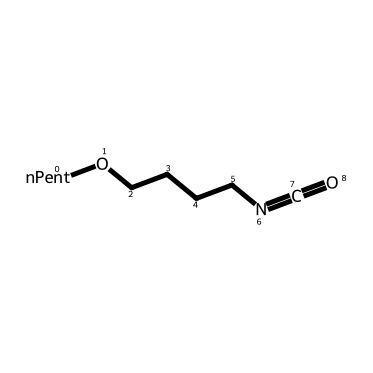 CCCCCOCCCCN=C=O